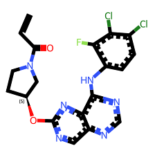 C=CC(=O)N1CC[C@H](Oc2ncc3ncnc(Nc4ccc(Cl)c(Cl)c4F)c3n2)C1